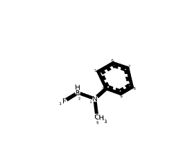 CN(BF)c1ccccc1